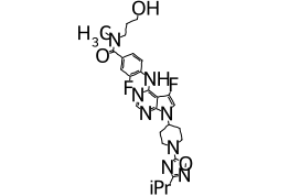 CC(C)c1noc(N2CCC(n3cc(F)c4c(Nc5ccc(C(=O)N(C)CCCO)cc5F)ncnc43)CC2)n1